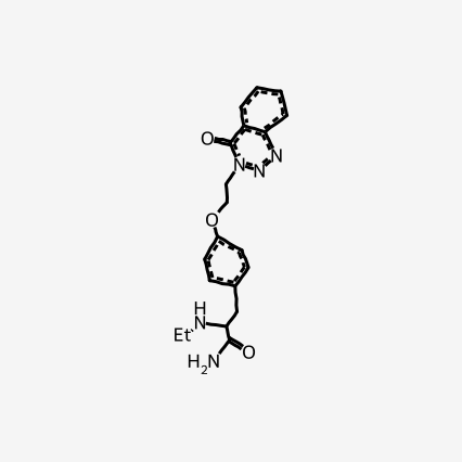 CCNC(Cc1ccc(OCCn2nnc3ccccc3c2=O)cc1)C(N)=O